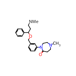 CNCCC(OCc1cccc(N2CCN(C)CCC2=O)c1)c1ccccc1